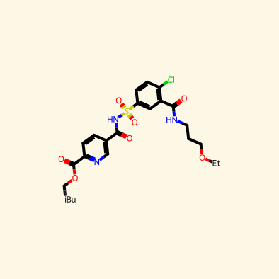 CCOCCCNC(=O)c1cc(S(=O)(=O)NC(=O)c2ccc(C(=O)OCC(C)CC)nc2)ccc1Cl